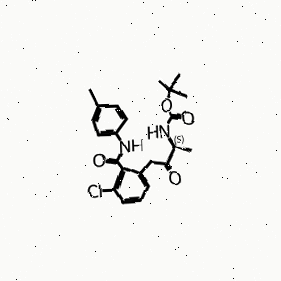 Cc1ccc(NC(=O)c2c(Cl)cccc2CC(=O)[C@H](C)NC(=O)OC(C)(C)C)cc1